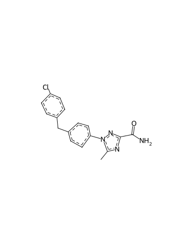 Cc1nc(C(N)=O)nn1-c1ccc(Cc2ccc(Cl)cc2)cc1